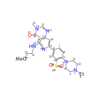 CCN1CCN(c2ccc(-c3cc4ncn(C)c(=O)c4c(NCCOC)n3)cc2S(C)(=O)=O)CC1